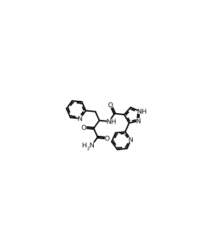 NC(=O)C(=O)C(Cc1ccccn1)NC(=O)c1c[nH]nc1-c1ccccn1